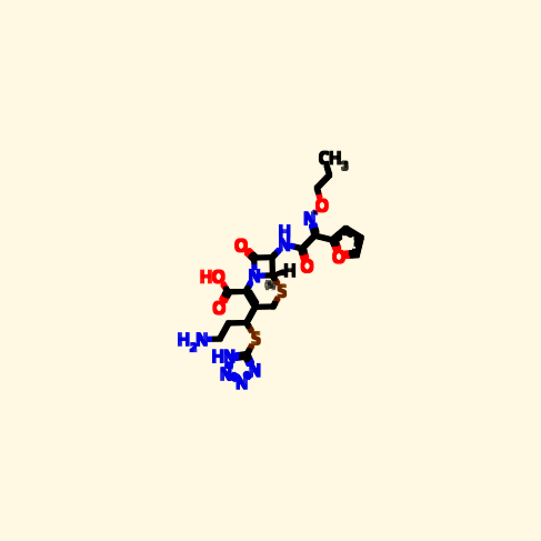 CCCON=C(C(=O)NC1C(=O)N2C(C(=O)O)=C(C(CCN)Sc3nnn[nH]3)CS[C@@H]12)c1ccco1